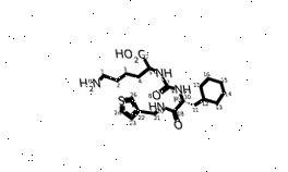 NCCCCC(NC(=O)N[C@H](CC1CCCCC1)C(=O)NCc1ccsc1)C(=O)O